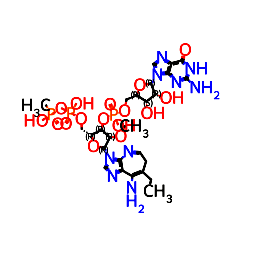 CCC1=C(N)c2ncn([C@@H]3O[C@H](COP(=O)(O)OP(C)(=O)O)[C@@H](OP(=O)(O)OC[C@H]4O[C@@H](n5cnc6c(=O)[nH]c(N)nc65)[C@H](O)[C@@H]4O)[C@H]3OC)c2N=CC1